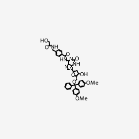 COc1ccc(C(OC[C@H]2O[C@@H](N3C=NC4C(NC(=O)c5ccc(CNC(=O)CO)cc5)=NC(=O)NC43)CC2O)(c2ccccc2)c2ccc(OC)cc2)cc1